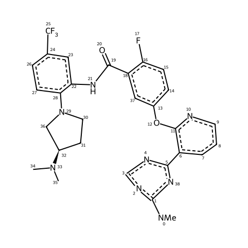 CNc1ncnc(-c2cccnc2Oc2ccc(F)c(C(=O)Nc3cc(C(F)(F)F)ccc3N3CC[C@@H](N(C)C)C3)c2)n1